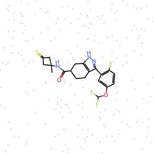 CC1(NC(=O)C2CCc3c(-c4cc(OC(F)F)ccc4F)n[nH]c3C2)CC(=S)C1